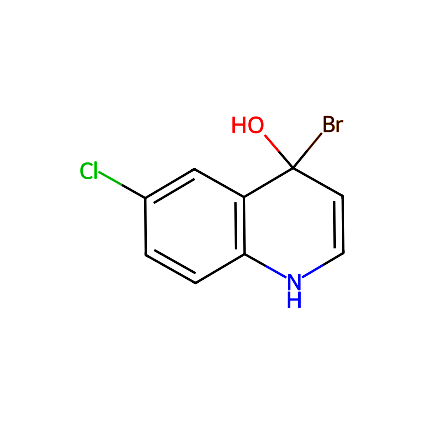 OC1(Br)C=CNc2ccc(Cl)cc21